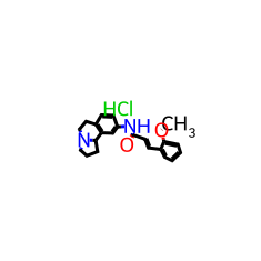 COc1ccccc1C=CC(=O)Nc1ccc2c(c1)C1CCCN1CC2.Cl